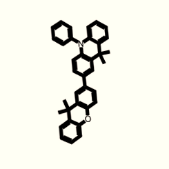 CC1(C)c2ccccc2Oc2ccc(-c3ccc4c(c3)C(C)(C)c3ccccc3N4c3ccccc3)cc21